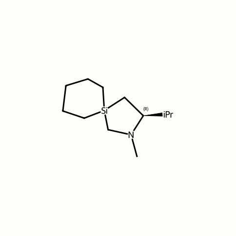 CC(C)[C@@H]1C[Si]2(CCCCC2)CN1C